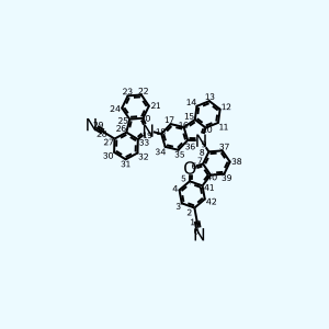 N#Cc1ccc2oc3c(-n4c5ccccc5c5cc(-n6c7ccccc7c7c(C#N)cccc76)ccc54)cccc3c2c1